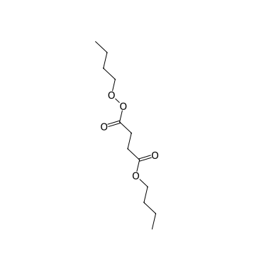 CCCCOOC(=O)CCC(=O)OCCCC